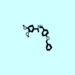 COc1ccc(C(C)/N=C\c2ccc(OCc3ccccc3)cc2)cc1OC